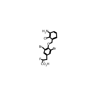 Nc1cccc(COc2c(Br)cc(C[C@H](F)C(=O)O)cc2Br)c1Cl